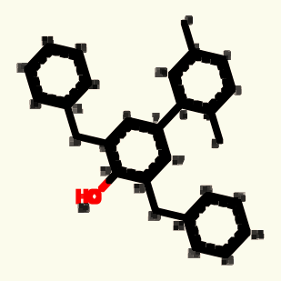 Cc1ccc(C)c(-c2cc(Cc3ccccc3)c(O)c(Cc3ccccc3)c2)c1